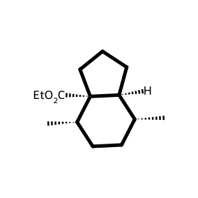 CCOC(=O)[C@]12CCC[C@H]1[C@H](C)CC[C@@H]2C